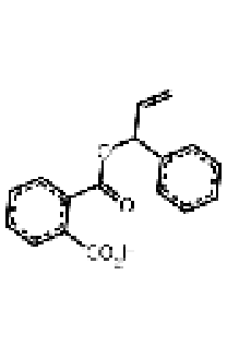 C=CC(OC(=O)c1ccccc1C(=O)O)c1ccccc1